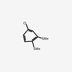 CSc1ccc(Cl)cc1SC